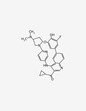 CN(C)C1CCN(c2ccc(Nc3c(C(=O)C4CC4)cnc4ccc(-c5cc(F)c(O)c(Cl)c5)cc34)cn2)C1